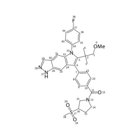 COCC(C)(C)c1c(-c2ccc(C(=O)N3CCC(S(C)(=O)=O)C3)cc2)c2cc3[nH]ncc3cc2n1-c1ccc(F)cc1